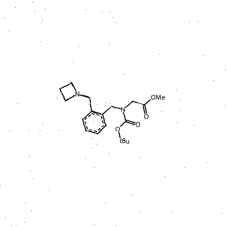 COC(=O)CN(Cc1ccccc1CN1CCC1)C(=O)OC(C)(C)C